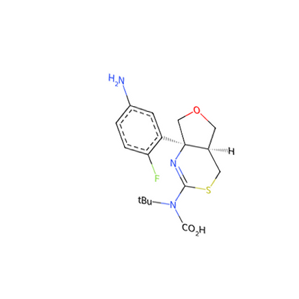 CC(C)(C)N(C(=O)O)C1=N[C@@]2(c3cc(N)ccc3F)COC[C@H]2CS1